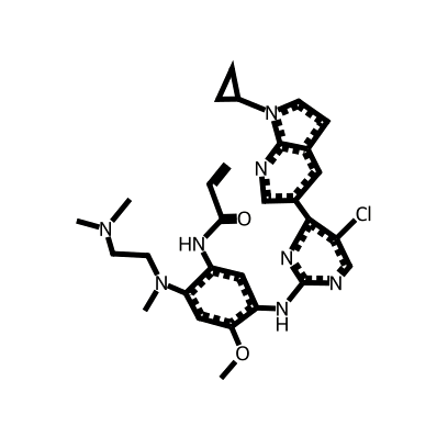 C=CC(=O)Nc1cc(Nc2ncc(Cl)c(-c3cnc4c(ccn4C4CC4)c3)n2)c(OC)cc1N(C)CCN(C)C